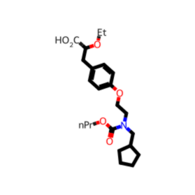 CCCOC(=O)N(CCOc1ccc(CC(OCC)C(=O)O)cc1)CC1CCCC1